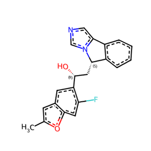 Cc1cc2cc([C@H](O)C[C@H]3c4ccccc4-c4cncn43)c(F)cc2o1